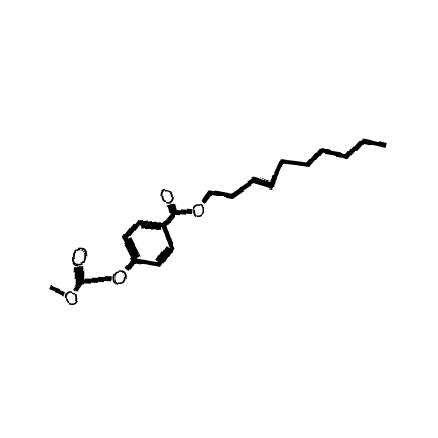 CCCCCCCCCCOC(=O)c1ccc(OC(=O)OC)cc1